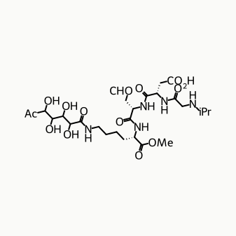 COC(=O)[C@H](CCCCNC(=O)C(O)C(O)C(O)C(O)C(C)=O)NC(=O)[C@H](CC=O)NC(=O)[C@H](CC(=O)O)NC(=O)CNC(C)C